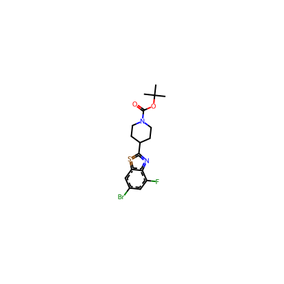 CC(C)(C)OC(=O)N1CCC(c2nc3c(F)cc(Br)cc3s2)CC1